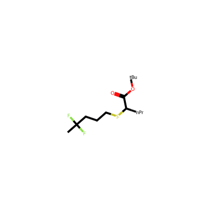 CCCC(SCCCC(C)(F)F)C(=O)OC(C)(C)C